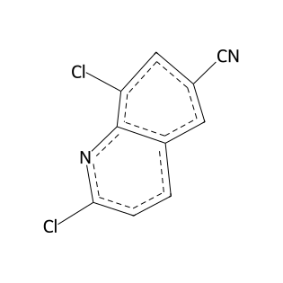 N#Cc1cc(Cl)c2nc(Cl)ccc2c1